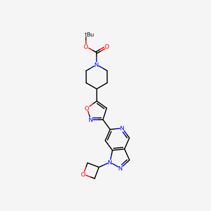 CC(C)(C)OC(=O)N1CCC(c2cc(-c3cc4c(cn3)cnn4C3COC3)no2)CC1